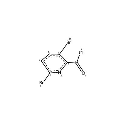 O=C(Cl)c1nc(Br)ccc1Br